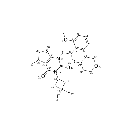 COc1ccccc1C(Cn1c(=O)n(C2CC(F)(F)C2)c(=O)c2c(C)csc21)OC1CCOCC1